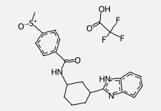 C[S+]([O-])c1ccc(C(=O)NC2CCCC(c3nc4ccccc4[nH]3)C2)cc1.O=C(O)C(F)(F)F